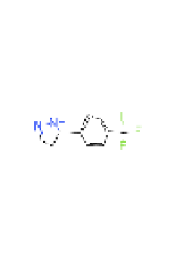 FC(F)(F)c1ccc(C2CC=NN2)cc1